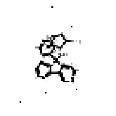 C[C@@H]1CNC(=O)[C@H]1NC1(c2ccccc2)c2ccccc2-c2ccccc21